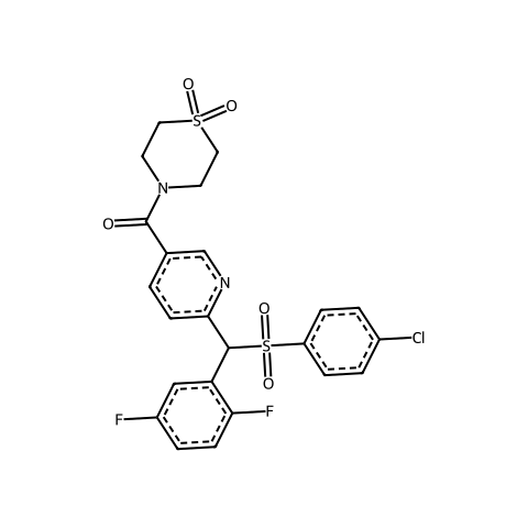 O=C(c1ccc(C(c2cc(F)ccc2F)S(=O)(=O)c2ccc(Cl)cc2)nc1)N1CCS(=O)(=O)CC1